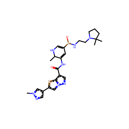 CC1NC=C([S+]([O-])NCCN2CCCC2(C)C)C=C1NC(=O)c1cnn2cc(-c3cnn(C)c3)sc12